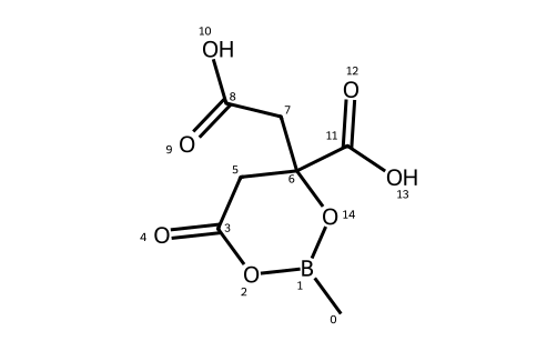 CB1OC(=O)CC(CC(=O)O)(C(=O)O)O1